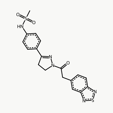 CS(=O)(=O)Nc1ccc(C2=NN(C(=O)Cc3ccc4nsnc4c3)CC2)cc1